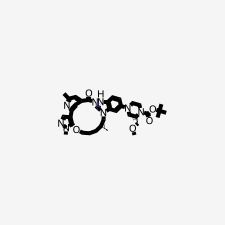 COC[C@@H]1CN(c2ccc3c(c2)N2C[C@H](C)CCCOc4c(cnn4C)-c4cc(cc(C)n4)C(=O)/N=C/2N3)CCN1C(=O)OC(C)(C)C